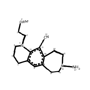 COCCN1CCCc2cc3c(c(C#N)c21)CCN(N)CC3